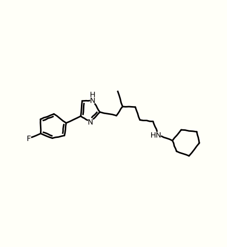 CC(CCCNC1CCCCC1)Cc1nc(-c2ccc(F)cc2)c[nH]1